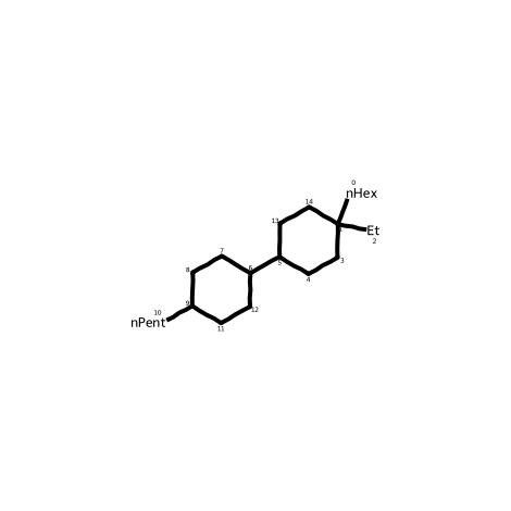 CCCCCCC1(CC)CCC(C2CCC(CCCCC)CC2)CC1